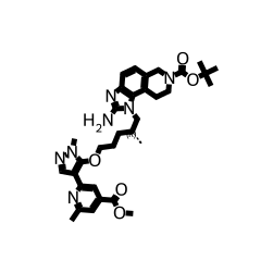 COC(=O)c1cc(C)nc(-c2cnn(C)c2OCCC[C@@H](C)Cn2c(N)nc3ccc4c(c32)CCN(C(=O)OC(C)(C)C)C4)c1